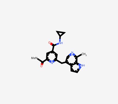 CNC(=O)c1cc(C(=O)NC2CC2)cc(Cc2cnc(C)c3[nH]ccc23)n1